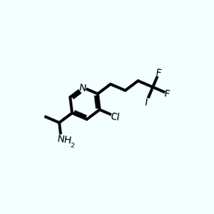 CC(N)c1cnc(CCCC(F)(F)I)c(Cl)c1